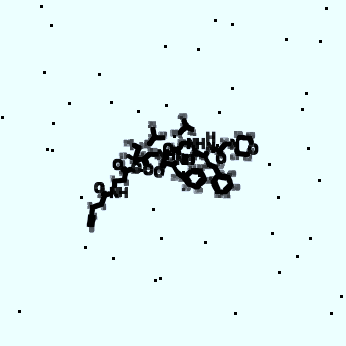 C#CCCC(=O)NCCC(=O)O[C@](C)(CI)C(=O)[C@H](CC(C)C)NC(=O)[C@H](Cc1ccccc1)NC(=O)[C@H](CC(C)C)NC(=O)[C@H](CCc1ccccc1)NC(=O)CN1CCOCC1